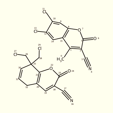 Cc1c(C#N)c(=O)oc2cc(Cl)c(Cl)cc12.N#Cc1cc2c(oc1=O)C(CCl)(CCl)C=CC2